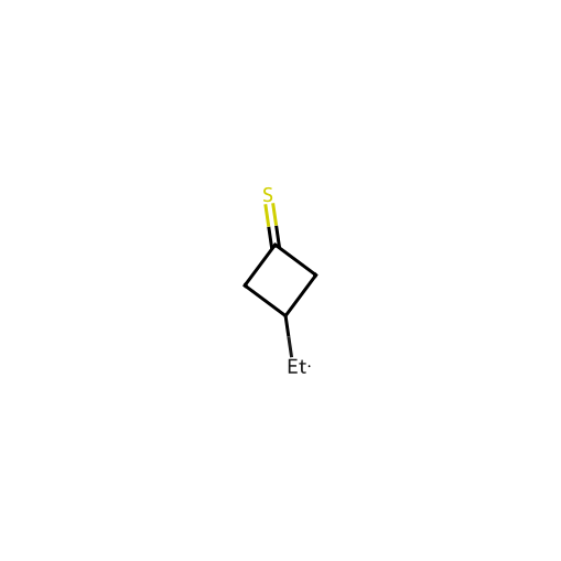 C[CH]C1CC(=S)C1